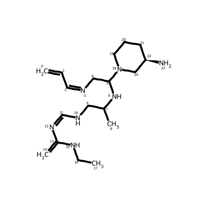 C=C/C=N\CC(NC(C)CN/C=N\C(=C)NCC)N1CCC[C@@H](N)C1